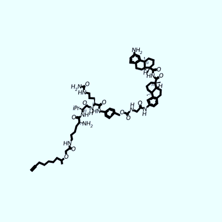 C#CCCCCCC(C)OCC(=O)NCCCC[C@@H](N)C(=O)N[C@H](C(=O)N[C@@H](CCCNC(N)=O)C(=O)Nc1ccc(COC(=O)NCC(=O)Nc2ccc3c(c2)[C@@]2(C)CCC[C@](C)(C(=O)NC(=O)[C@@]4(C)CCC[C@]5(C)c6cc(N)ccc6CC[C@@H]45)[C@@H]2CC3)cc1)C(C)C